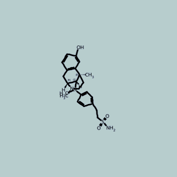 CN1CC[C@]2(C)c3cc(O)ccc3C[C@@H]1[C@H]2N(C)c1ccc(CCS(N)(=O)=O)cc1